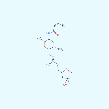 CC/C=C\C(=O)NC1CC(C)C(C/C=C(C)/C=C/C2CC3(CCO2)CO3)OC1C